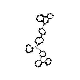 c1ccc(-c2ccccc2-c2cccc(N(c3ccccc3)c3ccc(-c4ccc(-c5cc6ccccc6c6ccccc56)cc4)cc3)c2)cc1